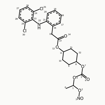 CC(ON=O)OC(=O)OC1CCC(OC(=O)Cc2ccccc2Nc2c(Cl)cccc2Cl)CC1